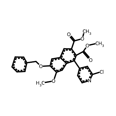 COC(=O)c1cc2cc(OCc3ccccc3)c(OC)cc2c(-c2ccnc(Cl)c2)c1C(=O)OC